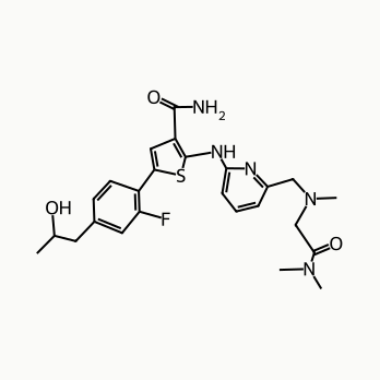 CC(O)Cc1ccc(-c2cc(C(N)=O)c(Nc3cccc(CN(C)CC(=O)N(C)C)n3)s2)c(F)c1